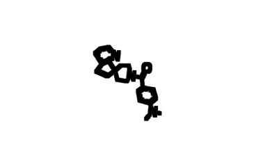 CN(C)c1ccc(C(=O)N2CCC3(C=Cc4cccnc43)CC2)cc1